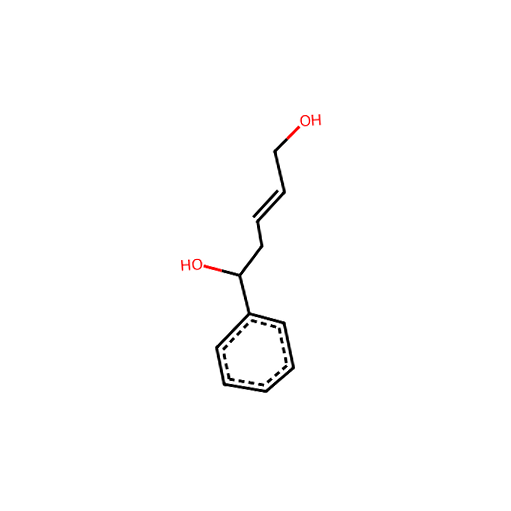 OC/C=C/CC(O)c1ccccc1